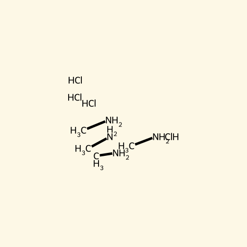 CN.CN.CN.CN.Cl.Cl.Cl.Cl